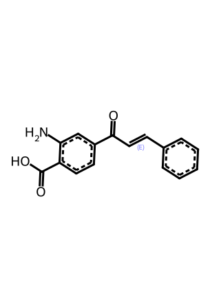 Nc1cc(C(=O)/C=C/c2ccccc2)ccc1C(=O)O